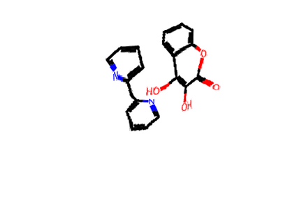 O=c1oc2ccccc2c(O)c1O.c1ccc(-c2ccccn2)nc1